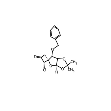 CC1(C)OC2C(OCc3ccccc3)[C@@]3(CC(=O)[C@@H]3Cl)O[C@@H]2O1